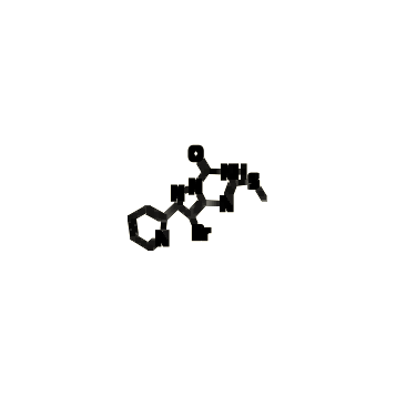 CSc1nc2c(Br)c(-c3ccccn3)nn2c(=O)[nH]1